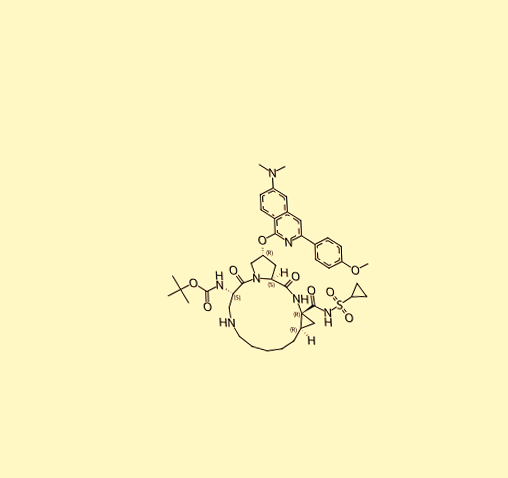 COc1ccc(-c2cc3cc(N(C)C)ccc3c(O[C@@H]3C[C@H]4C(=O)N[C@]5(C(=O)NS(=O)(=O)C6CC6)C[C@H]5CCCCCNC[C@H](NC(=O)OC(C)(C)C)C(=O)N4C3)n2)cc1